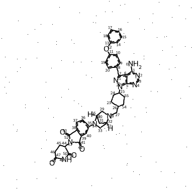 Nc1ncnc2c1c(-c1ccc(Oc3ccccc3)cc1)nn2C1CCC(CN2C[C@@H]3C[C@H]2CN3c2ccc3c(c2)C(=O)N(C2CCC(=O)NC2=O)C3=O)CC1